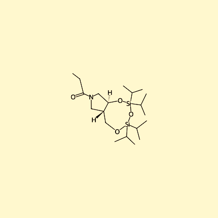 CCC(=O)N1C[C@H]2CO[Si](C(C)C)(C(C)C)O[Si](C(C)C)(C(C)C)O[C@@H]2C1